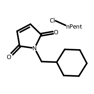 CCCCCCl.O=C1C=CC(=O)N1CC1CCCCC1